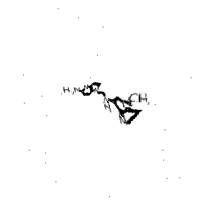 Cn1cc(NCCn2ccc3nc(N)ccc32)c2ncccc21